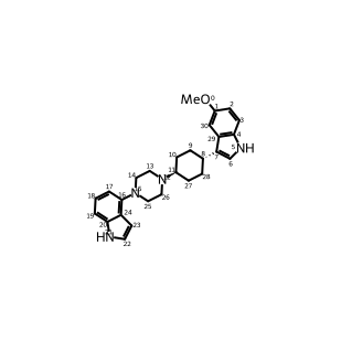 COc1ccc2[nH]cc([C@H]3CC[C@H](N4CCN(c5cccc6[nH]ccc56)CC4)CC3)c2c1